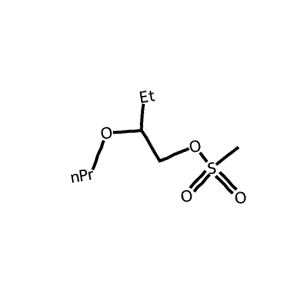 CCCOC(CC)COS(C)(=O)=O